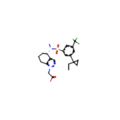 CCC1(c2cc(C(F)(F)F)cc(S(=O)(=O)N(C)[C@@H]3CCCc4c3cnn4CC(=O)O)c2)CC1